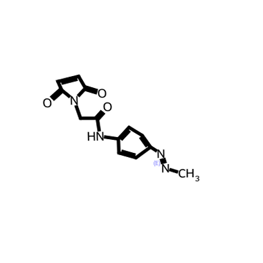 C/N=N/c1ccc(NC(=O)CN2C(=O)C=CC2=O)cc1